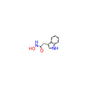 O=C(Cc1c[nH]c2ccccc12)NO